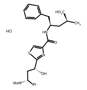 CN[C@H](C[C@@H](O)c1nc(C(=O)N[C@@H](Cc2ccccc2)C[C@H](C)C(=O)O)cs1)C(C)C.Cl